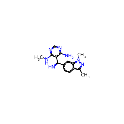 CNc1ncnc(N)c1C(=N)c1ccc2c(C)nn(C)c2c1